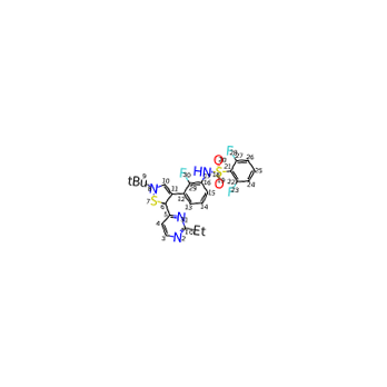 CCc1nccc(C2SN(C(C)(C)C)C=C2c2cccc(NS(=O)(=O)c3c(F)cccc3F)c2F)n1